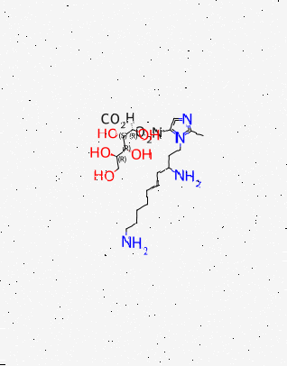 Cc1ncc([N+](=O)[O-])n1CCC(N)CCCCCCCN.O=C(O)[C@H](O)[C@@H](O)[C@H](O)[C@H](O)CO